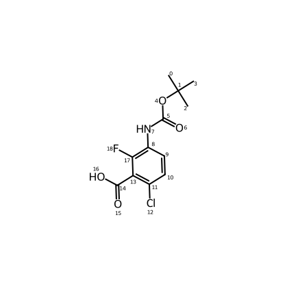 CC(C)(C)OC(=O)Nc1ccc(Cl)c(C(=O)O)c1F